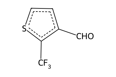 O=Cc1ccsc1C(F)(F)F